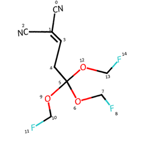 N#CC(C#N)=CCC(OCF)(OCF)OCF